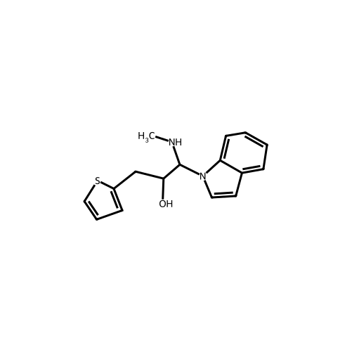 CNC(C(O)Cc1cccs1)n1ccc2ccccc21